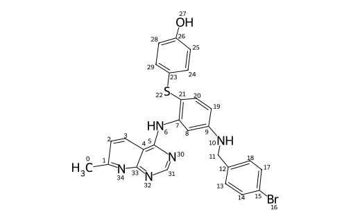 Cc1ccc2c(Nc3cc(NCc4ccc(Br)cc4)ccc3Sc3ccc(O)cc3)ncnc2n1